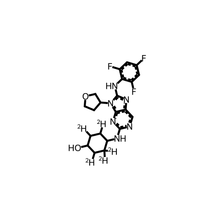 [2H]C1C([2H])C(Nc2ncc3nc(Nc4c(F)cc(F)cc4F)n(C4CCOC4)c3n2)C([2H])([2H])C([2H])C1O